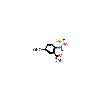 COC(=O)c1cc(C=O)ccc1N(C)S(C)(=O)=O